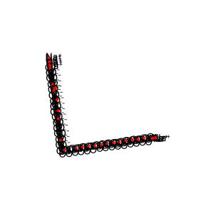 [Na+].[Na+].[Na+].[Na+].[Na+].[Na+].[Na+].[Na+].[Na+].[Na+].[O-]B([O-])[O-].[O-]B([O-])[O-].[O-]B([O-])[O-].[O-]B([O-])[O-].[O-]B([O-])[O-].[O-]B([O-])[O-].[O-]B([O-])[O-].[O-]B([O-])[O-].[O-]B([O-])[O-].[O-]B([O-])[O-].[O-]B([O-])[O-].[O-]B([O-])[O-].[O-]B([O-])[O-].[O-]B([O-])[O-].[O-]B([O-])[O-].[O-]B([O-])[O-].[O-]B([O-])[O-].[O-]B([O-])[O-].[O-]B([O-])[O-].[O-]B([O-])[O-].[O-]B([O-])[O-].[O-]B([O-])[O-].[O-]B([O-])[O-].[O-]B([O-])[O-].[O-]B([O-])[O-].[O-]B([O-])[O-].[O-]B([O-])[O-].[O-]B([O-])[O-].[O-]B([O-])[O-].[O-]B([O-])[O-]